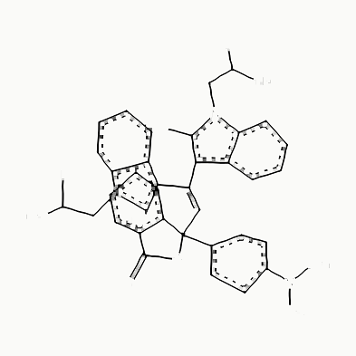 CCCCC(CC)Cn1c(C)c(C(=CC2(c3ccc(N(CCCC)C(C)CC)cc3)OC(=O)c3ccccc32)c2c(C)n(CC(CC)CCCC)c3ccccc23)c2ccccc21